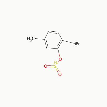 Cc1ccc(C(C)C)c(O[SH](=O)=O)c1